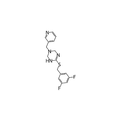 Fc1cc(F)cc(CSC2=NCN(Cc3cccnc3)CN2)c1